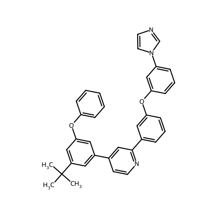 CC(C)(C)c1cc(Oc2ccccc2)cc(-c2ccnc(-c3cccc(Oc4cccc(-n5ccnc5)c4)c3)c2)c1